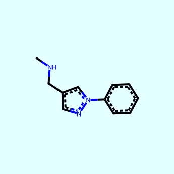 CNCc1cnn(-c2ccccc2)c1